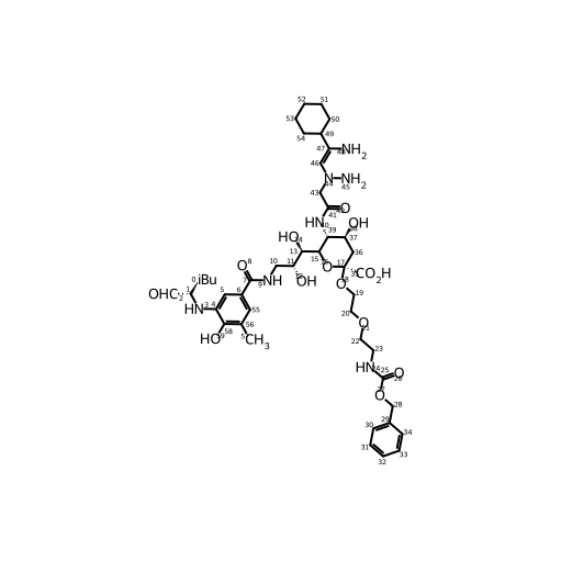 CC[C@H](C)[C@@H](C=O)Nc1cc(C(=O)NC[C@@H](O)[C@@H](O)C2O[C@@](OCCOCCNC(=O)OCc3ccccc3)(C(=O)O)C[C@H](O)[C@H]2NC(=O)CN(N)/C=C(\N)C2CCCCC2)cc(C)c1O